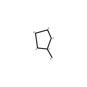 C[C]1C[CH]CC1